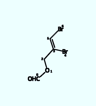 O=COC/C(Br)=C/Br